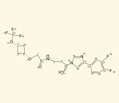 C=C(CCNC(=O)CO[C@H]1C[C@@H](OC(F)(F)F)C1)n1cnc(-c2ccc(F)c(F)c2)c1